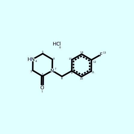 Cl.O=C1CNCCN1Cc1ccc(F)cc1